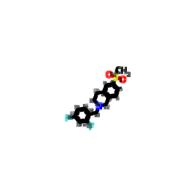 CS(=O)(=O)c1ccc2c(c1)CCN(Cc1ccc(F)cc1F)C2